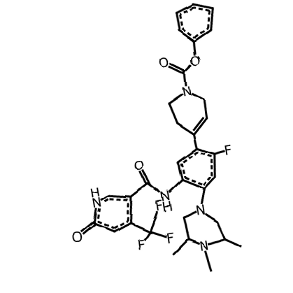 CC1CN(c2cc(F)c(C3=CCN(C(=O)Oc4ccccc4)CC3)cc2NC(=O)c2c[nH]c(=O)cc2C(F)(F)F)CC(C)N1C